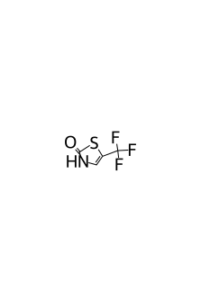 O=c1[nH]cc(C(F)(F)F)s1